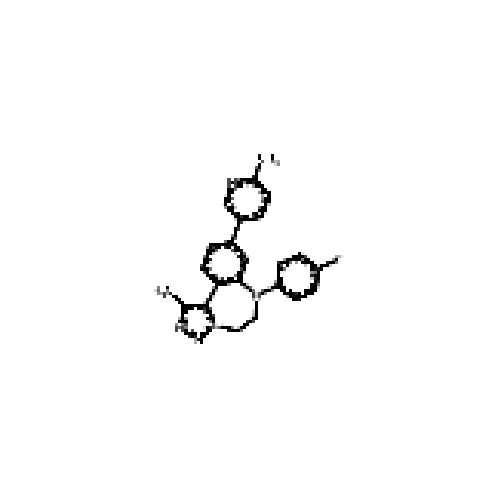 Cc1ccc(-c2ccc3c(c2)N(c2ccc(Cl)cc2)CCn2nnc(C)c2-3)cn1